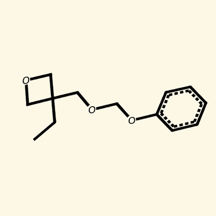 CCC1(COCOc2ccccc2)COC1